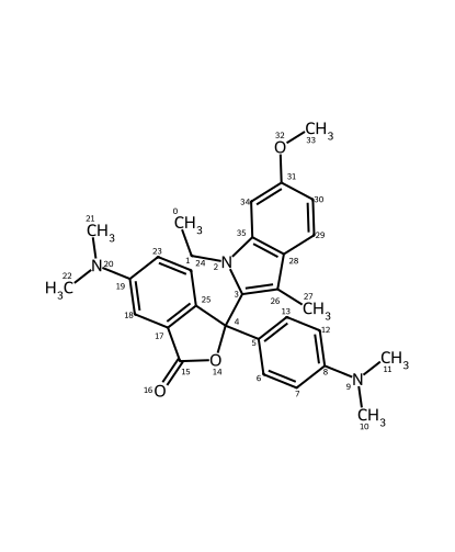 CCn1c(C2(c3ccc(N(C)C)cc3)OC(=O)c3cc(N(C)C)ccc32)c(C)c2ccc(OC)cc21